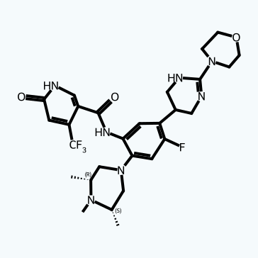 C[C@@H]1CN(c2cc(F)c(C3CN=C(N4CCOCC4)NC3)cc2NC(=O)c2c[nH]c(=O)cc2C(F)(F)F)C[C@H](C)N1C